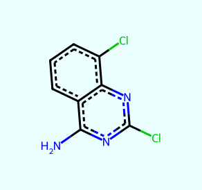 Nc1nc(Cl)nc2c(Cl)cccc12